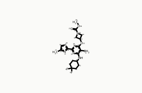 Bc1c(NC2CCC(F)(F)CC2)nc(-c2nc(C)cs2)nc1OC1CN(C(=O)OC)C1